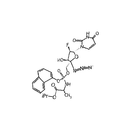 CC(C)OC(=O)[C@H](C)NP(=O)(OC[C@@]1(N=[N+]=[N-])O[C@@H](n2ccc(=O)[nH]c2=O)[C@H](F)[C@@H]1O)Oc1cccc2ccccc12